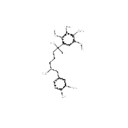 CCOc1cc(C(C#N)(CC)CCCC(Cc2ccc(OC)c(OC)c2)[N+](=O)[O-])c(OCC)c(OC)c1OC